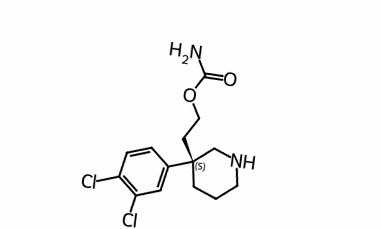 NC(=O)OCC[C@]1(c2ccc(Cl)c(Cl)c2)CCCNC1